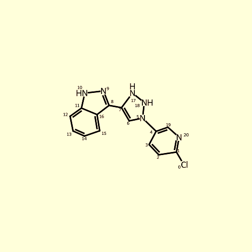 Clc1ccc(N2C=C(c3n[nH]c4ccccc34)NN2)cn1